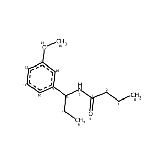 CCCC(=O)NC(CC)c1cccc(OC)c1